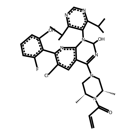 C=CC(=O)N1[C@H](C)CN(C2=NC(O)N(c3c(C(C)C)ncnc3C(C)C)c3nc(-c4c(O)cccc4F)c(Cl)cc32)C[C@@H]1C